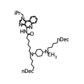 CCCCCCCCCCCCCCN(C)[C@H]1CC[C@@H](N(CCCCCCCCCCCCCC)CCCCCC(=O)Nc2nc3ccccc3c3c2ncn3CC(C)C)CC1